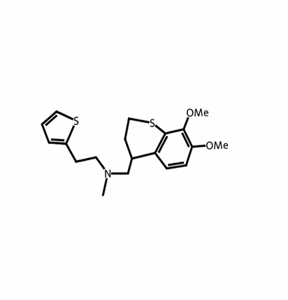 COc1ccc2c(c1OC)SCCC2CN(C)CCc1cccs1